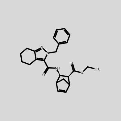 CCOC(=O)[C@H]1C2C=CC(C2)[C@H]1NC(=O)c1c2c(nn1Cc1ccccc1)CCCC2